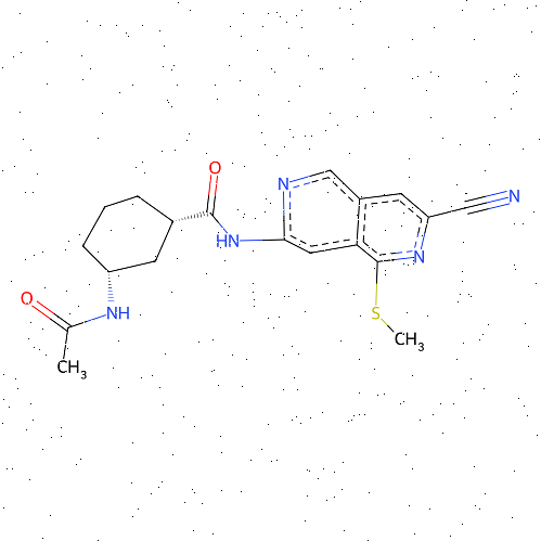 CSc1nc(C#N)cc2cnc(NC(=O)[C@H]3CCC[C@@H](NC(C)=O)C3)cc12